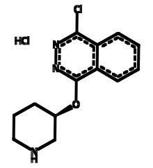 Cl.Clc1nnc(O[C@@H]2CCCNC2)c2ccccc12